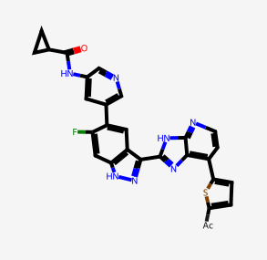 CC(=O)c1ccc(-c2ccnc3[nH]c(-c4n[nH]c5cc(F)c(-c6cncc(NC(=O)C7CC7)c6)cc45)nc23)s1